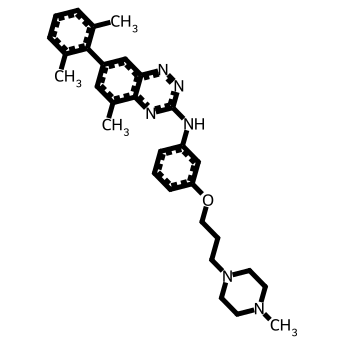 Cc1cccc(C)c1-c1cc(C)c2nc(Nc3cccc(OCCCN4CCN(C)CC4)c3)nnc2c1